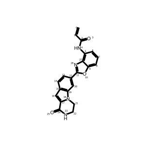 C=CC(=O)Nc1cccc2oc(-c3ccc4cc5n(c4c3)CCNC5=O)nc12